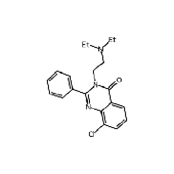 CCN(CC)CCn1c(-c2ccccc2)nc2c(Cl)cccc2c1=O